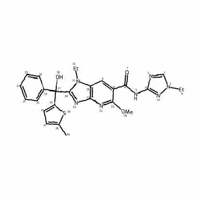 CCn1cnc(NC(=O)c2cc3c(nc2OC)nc(C(O)(c2ccccc2)c2ccc(C)s2)n3CC)n1